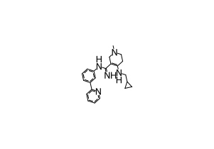 CN1CCC(NCC2CC2)=C(C(=N)Nc2cccc(-c3ccccn3)c2)C1